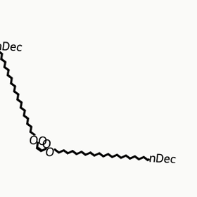 CCCCCCCCCCCCCCCCCCCCCCCCCCCCCCCCOC(=O)/C=C\C(=O)OCCCCCCCCCCCCCCCCCCCCCCCCCCCCCCCC